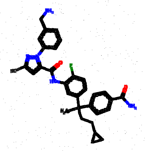 N#Cc1cc(C(=O)Nc2cc(C([AsH2])(CCC3CC3)c3ccc(C(N)=O)cc3)ccc2F)n(-c2cccc(CN)c2)n1